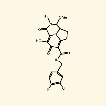 CCN1C(=O)c2c(O)c(=O)c(C(=O)NCc3ccc(F)c(Cl)c3)c3n2C(CC3)C1OC